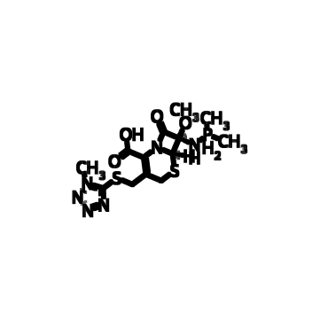 CO[C@@]1(N[PH2](C)C)C(=O)N2C(C(=O)O)=C(CSc3nnnn3C)CS[C@H]21